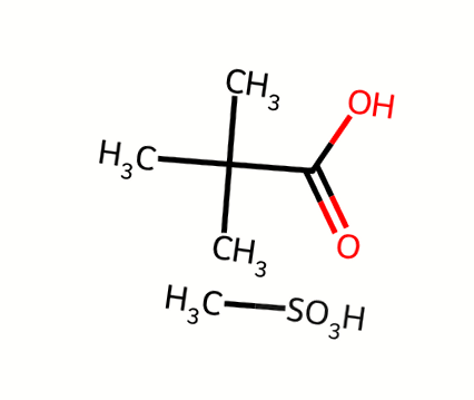 CC(C)(C)C(=O)O.CS(=O)(=O)O